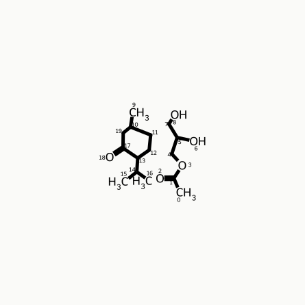 CC(=O)OCC(O)CO.CC1CCC(C(C)C)C(=O)C1